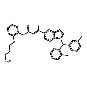 CC(=CC(=O)Nc1ccccc1OCCCC(=O)O)c1ccc2c(ccn2C(c2cccc(C)c2)c2ccccc2C)c1